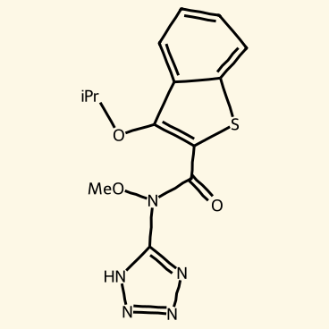 CON(C(=O)c1sc2ccccc2c1OC(C)C)c1nnn[nH]1